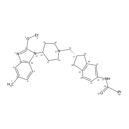 CCOc1nc2cc(C)ccc2n1C1CCN(C[C@H]2Cc3ccc(NC(=O)C(C)C)cc3C2)CC1